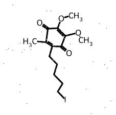 COC1=C(OC)C(=O)C(CCCCCI)=C(C)C1=O